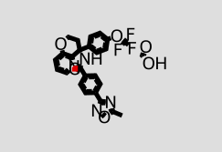 Cc1nc(-c2ccc(C(=O)NC3(c4ccc(OC(F)(F)F)cc4)CCOc4cccnc43)cc2)no1.O=CO